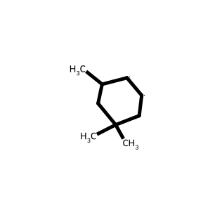 CC1[C][CH]CC(C)(C)C1